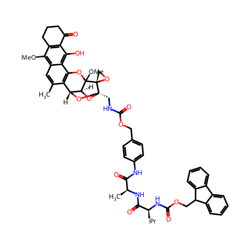 COc1c2c(c(O)c3c4c(c(C)cc13)[C@H]1O[C@]3(CNC(=O)OCc5ccc(NC(=O)[C@H](C)NC(=O)[C@@H](NC(=O)OCC6c7ccccc7-c7ccccc76)C(C)C)cc5)O[C@@H]1C(OC)(O4)[C@@]31CO1)C(=O)CCC2